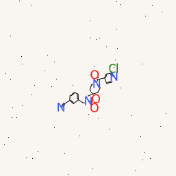 N#Cc1cccc(CN2CC3(CCN(C(=O)c4ccnc(Cl)c4)CC3)OC2=O)c1